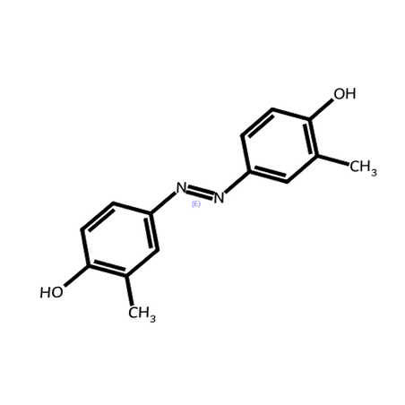 Cc1cc(/N=N/c2ccc(O)c(C)c2)ccc1O